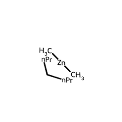 CCCCCCC.[CH3][Zn][CH3]